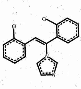 Clc1ccccc1C=C(c1ccccc1Cl)n1ccnc1